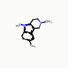 Cc1ccc2c(c1)c1c(n2C)CCN(C)C1